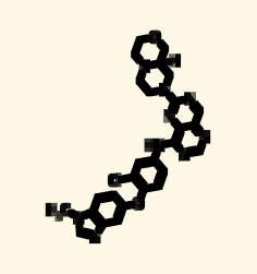 Cn1cnc2cc(Oc3ccc(Nc4ncnc5cnc(N6CCN7CCOC[C@@H]7C6)nc45)cc3Cl)ccc21